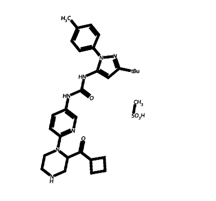 CS(=O)(=O)O.Cc1ccc(-n2nc(C(C)(C)C)cc2NC(=O)Nc2ccc(N3CCNCC3C(=O)C3CCC3)nc2)cc1